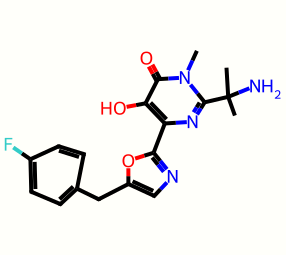 Cn1c(C(C)(C)N)nc(-c2ncc(Cc3ccc(F)cc3)o2)c(O)c1=O